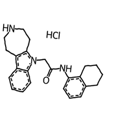 Cl.O=C(Cn1c2c(c3ccccc31)CCNCC2)Nc1cccc2c1CCCC2